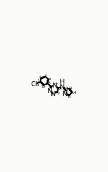 Clc1cccc(-c2nncc(Nn3cccn3)n2)c1